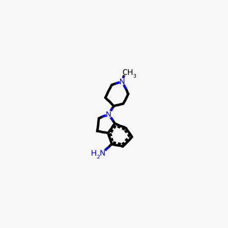 CN1CCC(N2CCc3c(N)cccc32)CC1